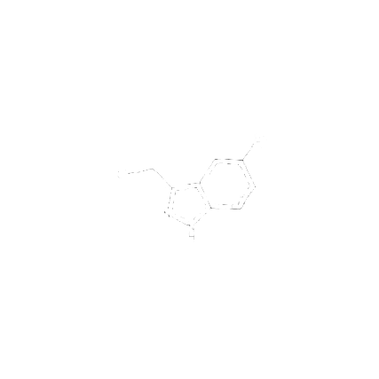 ClCc1n[nH]c2ccc(Br)cc12